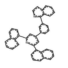 c1cc(-c2cc(-c3cccc4ccccc34)nc(-c3cccc4ccccc34)c2)cc(-c2nccc3ccccc23)c1